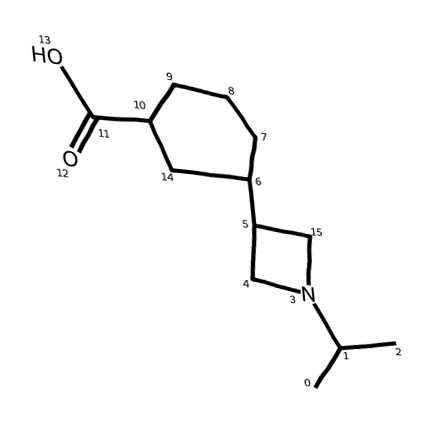 CC(C)N1CC(C2CCCC(C(=O)O)C2)C1